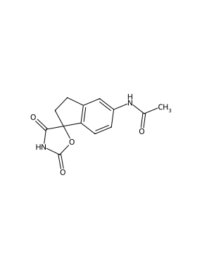 CC(=O)Nc1ccc2c(c1)CCC21OC(=O)NC1=O